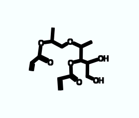 C=CC(=O)OC(C)COC(C)C(OC(=O)C=C)C(O)CO